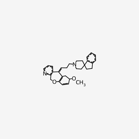 COC1C=CC2=C(C1)C(=CCCN1CCC3(CCc4ccccc43)CC1)c1cccnc1CO2